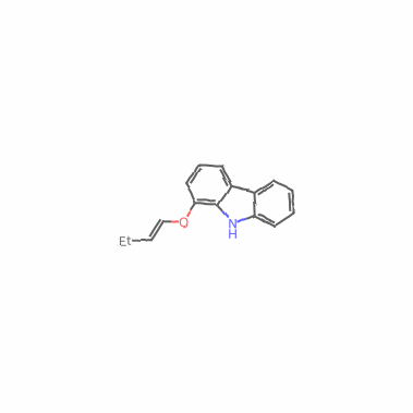 CCC=COc1cccc2c1[nH]c1ccccc12